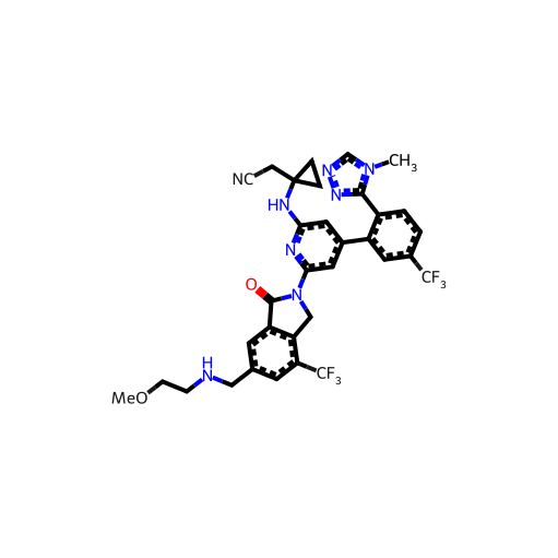 COCCNCc1cc2c(c(C(F)(F)F)c1)CN(c1cc(-c3cc(C(F)(F)F)ccc3-c3nncn3C)cc(NC3(CC#N)CC3)n1)C2=O